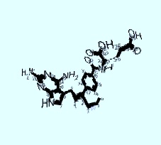 C/C=C\C(CCc1c[nH]c2nc(N)nc(N)c12)c1ccc(C(=O)N[C@@H](CCC(=O)O)C(=O)O)cc1